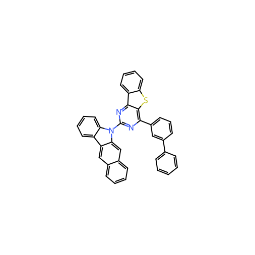 c1ccc(-c2cccc(-c3nc(-n4c5ccccc5c5cc6ccccc6cc54)nc4c3sc3ccccc34)c2)cc1